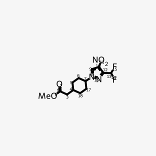 COC(=O)CC1CCC(n2cc([N+](=O)[O-])c(C(F)F)n2)CC1